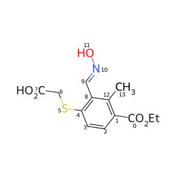 CCOC(=O)c1ccc(SCC(=O)O)c(C=NO)c1C